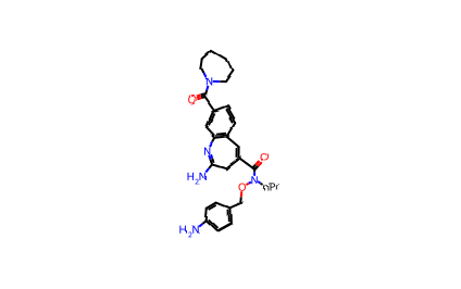 CCCN(OCc1ccc(N)cc1)C(=O)C1=Cc2ccc(C(=O)N3CCCCCC3)cc2N=C(N)C1